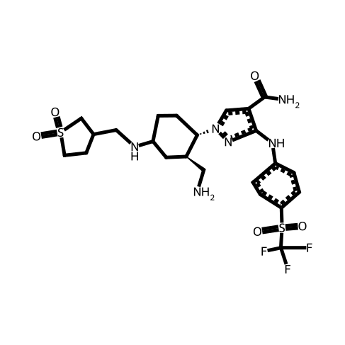 NC[C@H]1CC(NCC2CCS(=O)(=O)C2)CC[C@@H]1n1cc(C(N)=O)c(Nc2ccc(S(=O)(=O)C(F)(F)F)cc2)n1